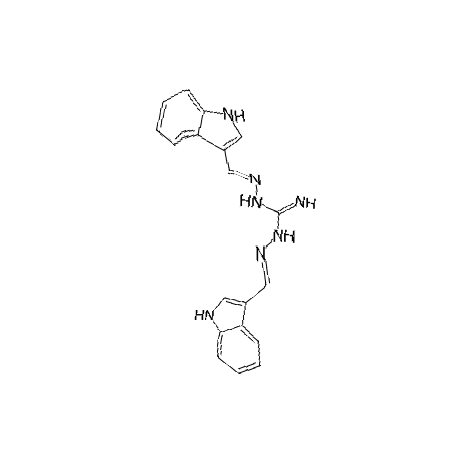 N=C(NN=Cc1c[nH]c2ccccc12)NN=Cc1c[nH]c2ccccc12